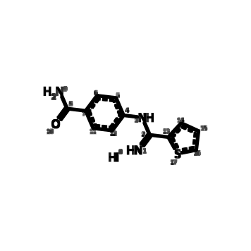 I.N=C(Nc1ccc(C(N)=O)cc1)c1cccs1